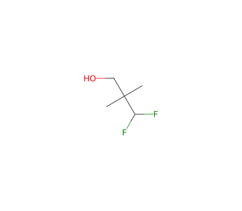 CC(C)(CO)C(F)F